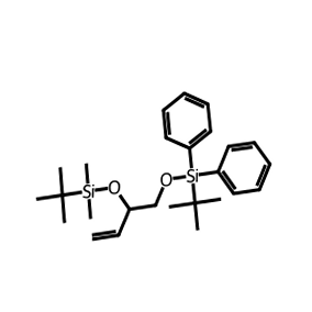 C=CC(CO[Si](c1ccccc1)(c1ccccc1)C(C)(C)C)O[Si](C)(C)C(C)(C)C